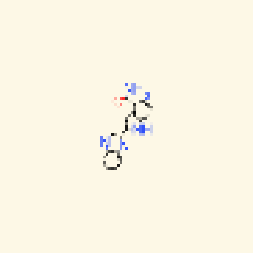 NC(=O)c1cccc2[nH]c(-c3cnc4ccccc4n3)cc12